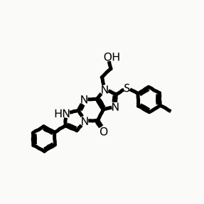 Cc1ccc(Sc2nc3c(=O)n4cc(-c5ccccc5)[nH]c4nc3n2CCO)cc1